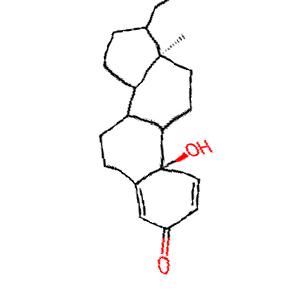 CC1CCC2C3CCC4=CC(=O)C=C[C@@]4(O)C3CC[C@]12C